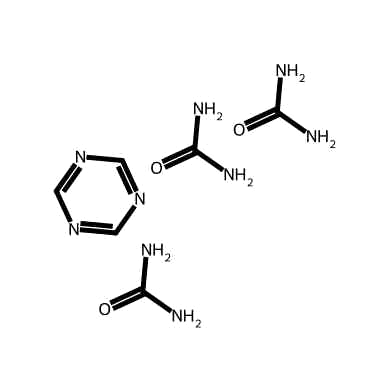 NC(N)=O.NC(N)=O.NC(N)=O.c1ncncn1